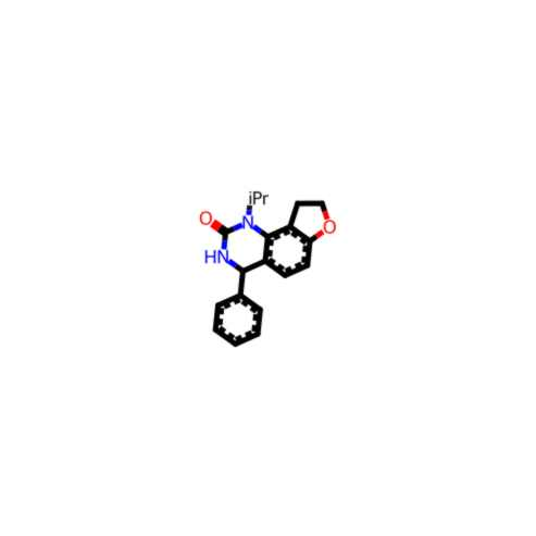 CC(C)N1C(=O)NC(c2ccccc2)c2ccc3c(c21)CCO3